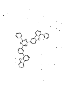 c1ccc(-c2nc(-c3cccc(-c4cccc5c4oc4ccccc45)c3)nc(-c3ccc4oc5c(-c6ccccc6)cccc5c4c3)n2)cc1